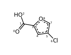 O=C(O)c1cc(Cl)co1